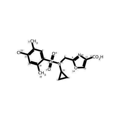 Cc1cc(S(=O)(=O)N(Cc2nc(C(=O)O)co2)C2CC2)c(C)cc1Cl